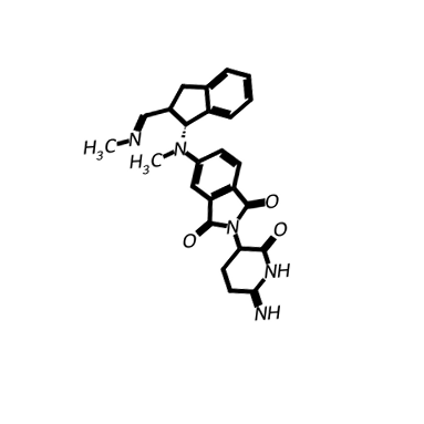 C/N=C/C1Cc2ccccc2[C@@H]1N(C)c1ccc2c(c1)C(=O)N(C1CCC(=N)NC1=O)C2=O